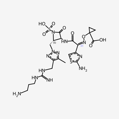 Cc1nn(C[C@H]2C(NC(=O)/C(=N\OC3(C(=O)O)CC3)c3csc(N)n3)C(=O)N2S(=O)(=O)O)nc1CNC(=N)NCCCN